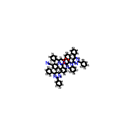 N#Cc1ccc(-c2c(-c3cc(-c4ccccc4)nc(-c4ccccc4)n3)ccc(N3c4ccccc4N(c4cc(-c5ccccc5)nc(-c5ccccc5)n4)c4ccccc43)c2-c2nc(-c3ccccc3)cc(-c3ccccc3)n2)cc1